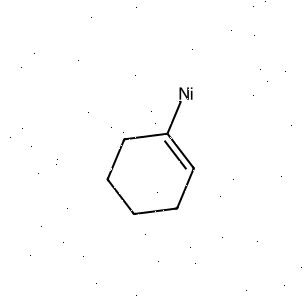 [Ni][C]1=CCCCC1